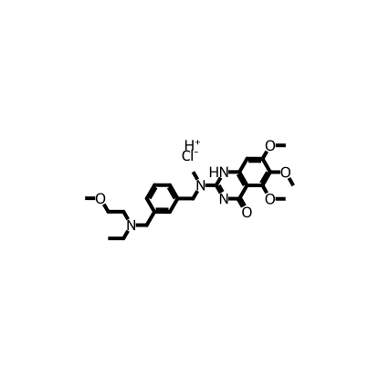 CCN(CCOC)Cc1cccc(CN(C)c2nc(=O)c3c(OC)c(OC)c(OC)cc3[nH]2)c1.[Cl-].[H+]